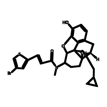 CN(C(=O)/C=C/c1cc(Br)cs1)C1CC[C@@]2(O)[C@H]3Cc4ccc(O)c5c4[C@@]2(CCN3CC2CC2)C1O5